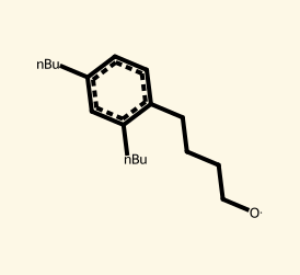 CCCCc1ccc(CCCC[O])c(CCCC)c1